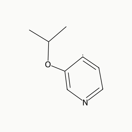 CC(C)Oc1[c]ccnc1